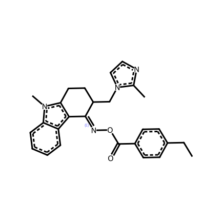 CCc1ccc(C(=O)O/N=C2/c3c(n(C)c4ccccc34)CCC2Cn2ccnc2C)cc1